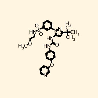 COCCNS(=O)(=O)c1cccc(-n2nc(C(C)(C)C)cc2NC(=O)Nc2ccc(Oc3cccnc3)cc2)c1